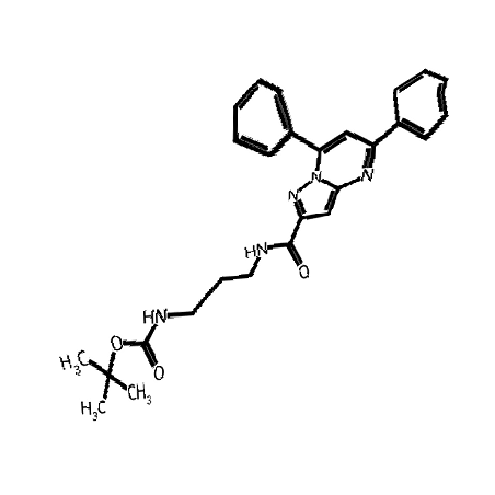 CC(C)(C)OC(=O)NCCCNC(=O)c1cc2nc(-c3ccccc3)cc(-c3ccccc3)n2n1